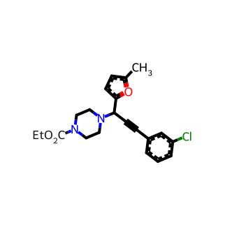 CCOC(=O)N1CCN(C(C#Cc2cccc(Cl)c2)c2ccc(C)o2)CC1